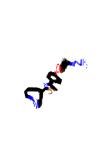 NCCOc1ccc(-c2csc(-c3cccnc3)n2)cc1